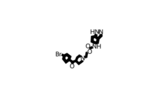 O=C(Nc1ccc2[nH]ncc2c1)OCCN1CCC(C(=O)c2ccc(Br)cc2)CC1